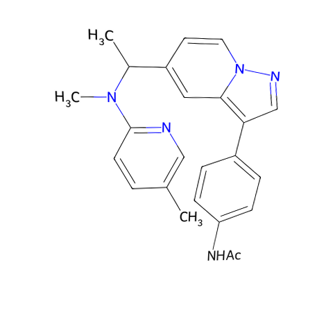 CC(=O)Nc1ccc(-c2cnn3ccc(C(C)N(C)c4ccc(C)cn4)cc23)cc1